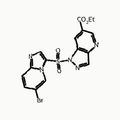 CCOC(=O)c1cnc2cnn(S(=O)(=O)c3cnc4ccc(Br)cn34)c2c1